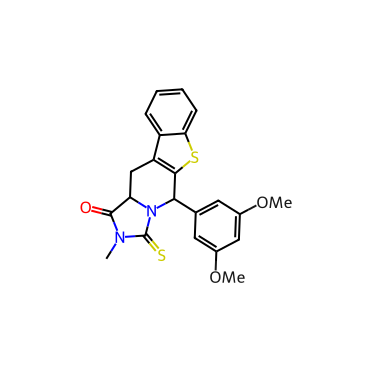 COc1cc(OC)cc(C2c3sc4ccccc4c3CC3C(=O)N(C)C(=S)N32)c1